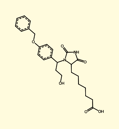 O=C(O)CCCCCCC1C(=O)NC(=O)N1C(CCO)c1ccc(OCc2ccccc2)cc1